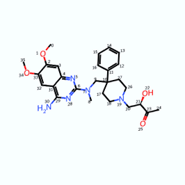 COc1cc2nc(N(C)CC3(c4ccccc4)CCN(C[C@@H](O)C(C)=O)CC3)nc(N)c2cc1OC